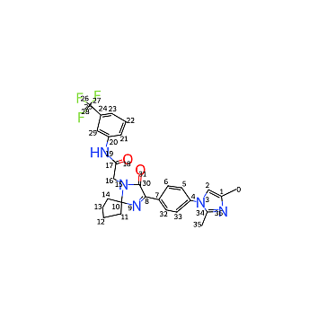 Cc1cn(-c2ccc(C3=NC4(CCCC4)N(CC(=O)Nc4cccc(C(F)(F)F)c4)C3=O)cc2)c(C)n1